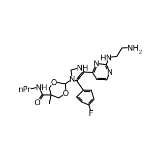 CCCNC(=O)C1(C)COC(N2CNC(c3ccnc(NCCN)n3)=C2c2ccc(F)cc2)OC1